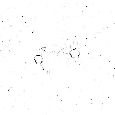 C#Cc1cccc(C2(NC[C@@H](O)[C@@](Cc3cc(F)cc(F)c3)(NC(=O)O)C(C)(C)C)CC2)c1